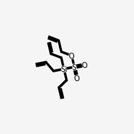 C=CCOS(=O)(=O)[Si](CC=C)(CC=C)CC=C